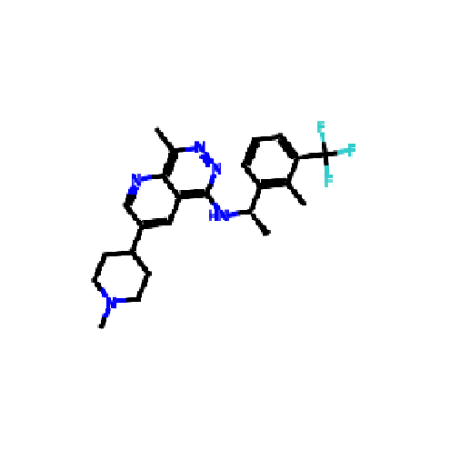 Cc1c([C@@H](C)Nc2nnc(C)c3ncc(C4CCN(C)CC4)cc23)cccc1C(F)(F)F